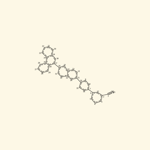 N#Cc1cccc(-c2ccc(-c3ccc4cc(-c5cc6ccccc6c6ccccc56)ccc4c3)cc2)c1